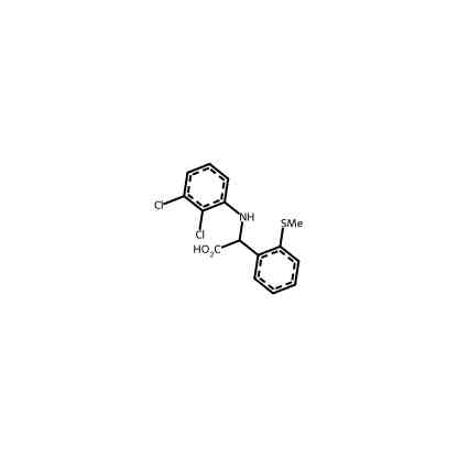 CSc1ccccc1C(Nc1cccc(Cl)c1Cl)C(=O)O